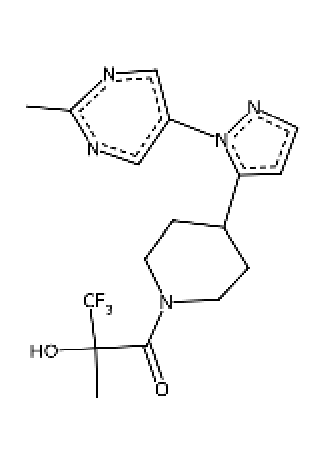 Cc1ncc(-n2nccc2C2CCN(C(=O)C(C)(O)C(F)(F)F)CC2)cn1